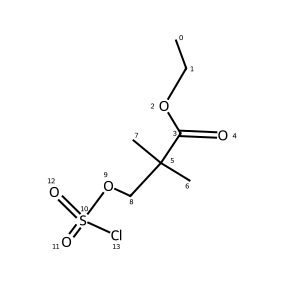 CCOC(=O)C(C)(C)COS(=O)(=O)Cl